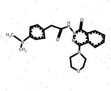 CN(C)c1ccc(CC(=O)Nn2nc(N3CCOCC3)c3ccccc3c2=O)cc1